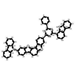 c1ccc(-c2nc(-c3ccc4c(c3)oc3ccc5c6ccc(-n7c8ccccc8c8ccccc87)cc6oc5c34)nc(-c3cccc4c3sc3ccccc34)n2)cc1